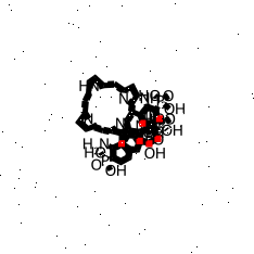 Nc1c(-c2c(-c3cccc(P(=O)(O)O)c3N)c3c(-c4cccc(P(=O)(O)O)c4N)c4nc(cc5ccc(cc6nc(cc2n3-c2cccc(P(=O)(O)O)c2N)C=C6)[nH]5)C=C4)cccc1P(=O)(O)O